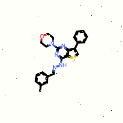 Cc1cccc(C=NNc2nc(N3CCOCC3)nc3c(-c4ccccc4)csc23)c1